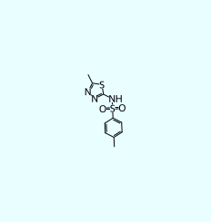 Cc1ccc(S(=O)(=O)Nc2nnc(C)s2)cc1